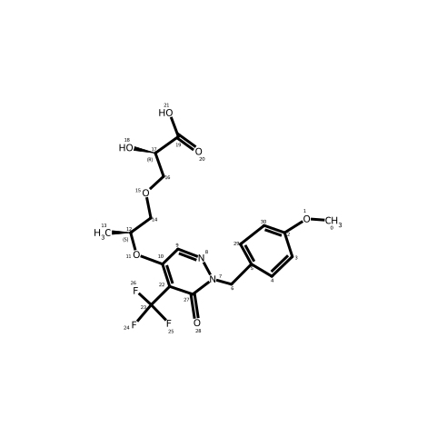 COc1ccc(Cn2ncc(O[C@@H](C)COC[C@@H](O)C(=O)O)c(C(F)(F)F)c2=O)cc1